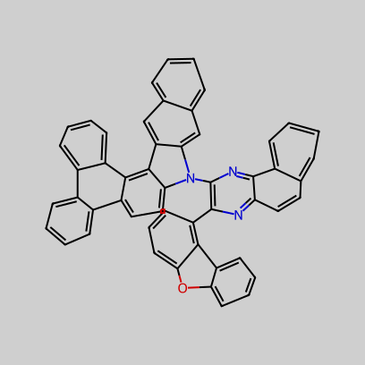 c1ccc2cc3c(cc2c1)c1c2c4ccccc4c4ccccc4c2ccc1n3-c1nc2c(ccc3ccccc32)nc1-c1cccc2oc3ccccc3c12